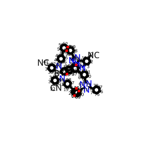 [C-]#[N+]c1ccc(-n2c3ccc(-c4cc5c6c(c4)N(c4ccc(-c7ccccc7)cc4)c4cc(C#N)ccc4B6c4ccc(C#N)cc4N5c4ccc(-c5ccccc5)cc4)cc3c3cc(-c4nc(-c5ccccc5)nc(-c5ccccc5)n4)ccc32)c(-c2nc(-c3ccccc3)nc(-c3ccccc3)n2)c1